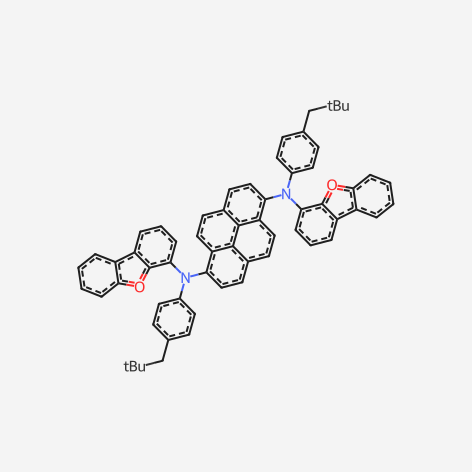 CC(C)(C)Cc1ccc(N(c2ccc3ccc4c(N(c5ccc(CC(C)(C)C)cc5)c5cccc6c5oc5ccccc56)ccc5ccc2c3c54)c2cccc3c2oc2ccccc23)cc1